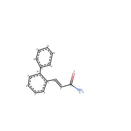 NC(=O)C=Cc1ccccc1-c1ccccc1